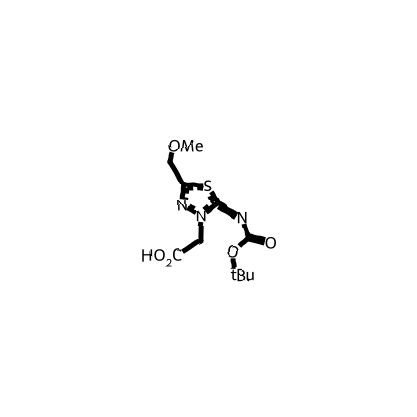 COCc1nn(CC(=O)O)c(=NC(=O)OC(C)(C)C)s1